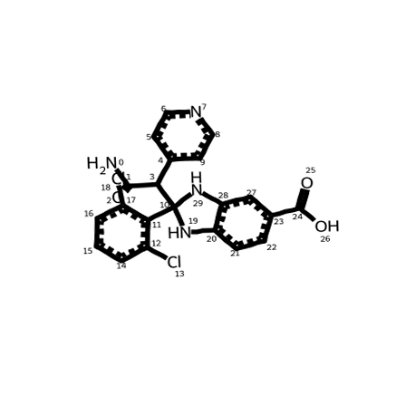 NC(=O)C(c1ccncc1)C1(c2c(Cl)cccc2Cl)Nc2ccc(C(=O)O)cc2N1